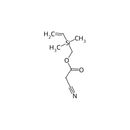 C=C[Si](C)(C)COC(=O)CC#N